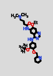 [2H]C([2H])([2H])Oc1cc(Nc2ncnc3cc(OCC)c(NC(=O)/C=C/CN(C)C)cc23)ccc1OCc1ccccn1